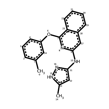 Cc1cccc(Oc2nc(Nc3cc(C)[nH]n3)cc3ccccc23)c1